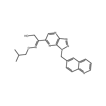 CC(C)CON=C(CO)c1cnc2nnn(Cc3ccc4ncccc4c3)c2n1